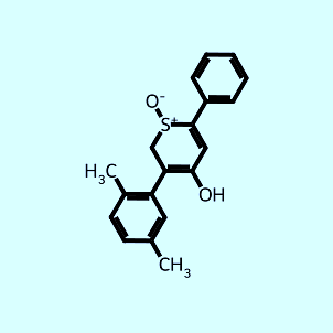 Cc1ccc(C)c(C2=C(O)C=C(c3ccccc3)[S+]([O-])C2)c1